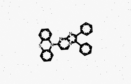 c1ccc(-c2nc3nc(N4c5ccccc5Sc5ccccc54)ccn3c2-c2ccccc2)cc1